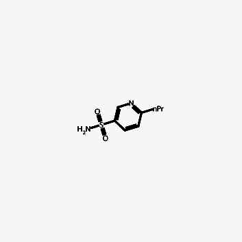 CCCc1ccc(S(N)(=O)=O)cn1